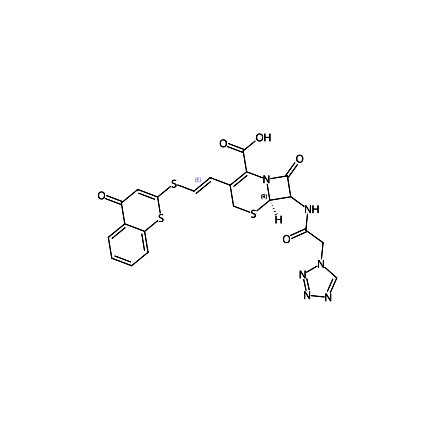 O=C(Cn1cnnn1)NC1C(=O)N2C(C(=O)O)=C(/C=C/Sc3cc(=O)c4ccccc4s3)CS[C@H]12